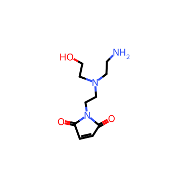 NCCN(CCO)CCN1C(=O)C=CC1=O